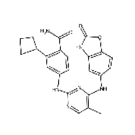 Cc1cnc(Nc2ccc(C(N)=O)c(C3CCC3)c2)nc1Nc1ccc2oc(=O)[nH]c2c1